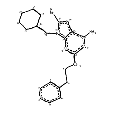 Nc1nc(OCCc2ccccc2)nc2c1nc(Br)n2CC1CCCCC1